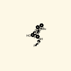 CC1Cc2cc(O)ccc2C(c2c(F)cc(NC3CN(CCCF)C3)cc2F)N1CC(F)(F)CO[Si](c1ccccc1)(c1ccccc1)C(C)(C)C